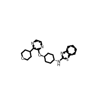 c1ccc2sc(N[C@H]3CC[C@H](Oc4nccnc4C4CCOCC4)CC3)nc2c1